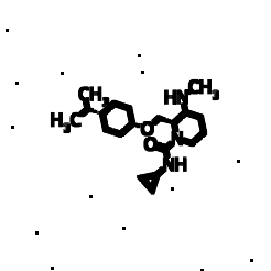 CNC1CCCN(C(=O)NC2CC2)[C@H]1CO[C@H]1CC[C@@H](C(C)C)CC1